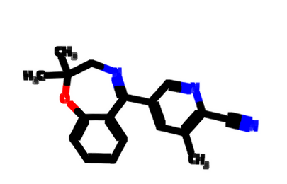 Cc1cc(C2=NCC(C)(C)Oc3ccccc32)cnc1C#N